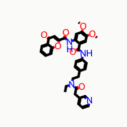 CCN(CCc1ccc(NC(=O)c2cc(OC)c(OC)cc2NC(=O)c2cc(=O)c3ccccc3o2)cc1)C(=O)Cc1cccnc1